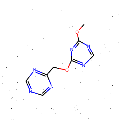 COc1ncnc(OCc2ncncn2)n1